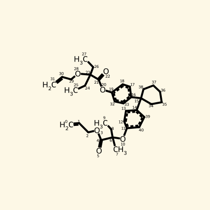 C=CCOC(=O)C(C)(CC)Oc1ccc(C2(c3ccc(OC(=O)C(CC)(CC)OCC=C)cc3)CCCCC2)cc1